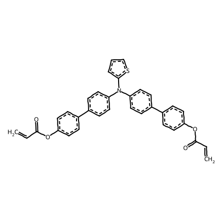 C=CC(=O)Oc1ccc(-c2ccc(N(c3ccc(-c4ccc(OC(=O)C=C)cc4)cc3)c3cccs3)cc2)cc1